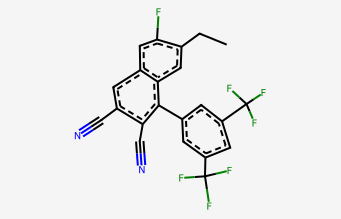 CCc1cc2c(-c3cc(C(F)(F)F)cc(C(F)(F)F)c3)c(C#N)c(C#N)cc2cc1F